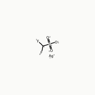 O=S(=O)([O-])C(F)F.[Ag+]